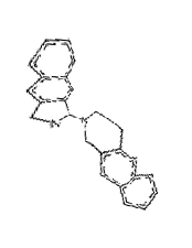 c1ccc2cc3c(cc2c1)CCN(C1[N]Cc2cc4ccccc4cc21)C3